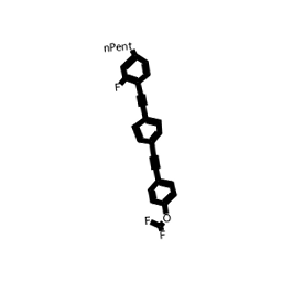 CCCCCc1ccc(C#Cc2ccc(C#Cc3ccc(OC(F)F)cc3)cc2)c(F)c1